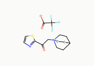 O=C(C[N+]12CCC(CC1)CC2)c1nccs1.O=C([O-])C(F)(F)F